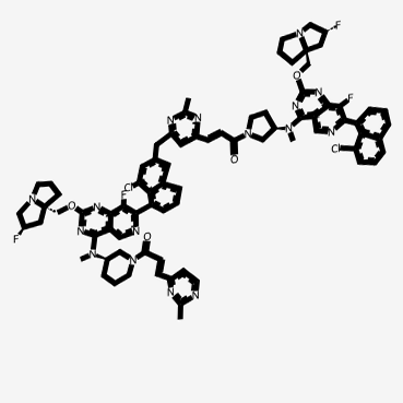 Cc1nccc(/C=C/C(=O)N2CCC[C@@H](N(C)c3nc(OC[C@@]45CCCN4C[C@H](F)C5)nc4c(F)c(-c5cccc6cc(Cc7cc(/C=C/C(=O)N8CC[C@@H](N(C)c9nc(OC[C@@]%10%11CCCN%10C[C@H](F)C%11)nc%10c(F)c(-c%11cccc%12cccc(Cl)c%11%12)ncc9%10)C8)nc(C)n7)cc(Cl)c56)ncc34)C2)n1